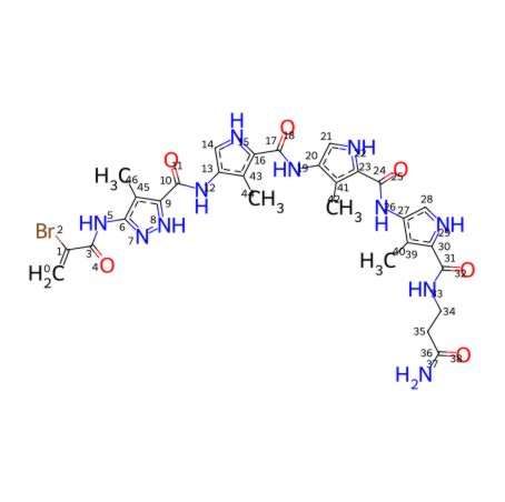 C=C(Br)C(=O)Nc1n[nH]c(C(=O)Nc2c[nH]c(C(=O)Nc3c[nH]c(C(=O)Nc4c[nH]c(C(=O)NCCC(N)=O)c4C)c3C)c2C)c1C